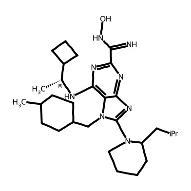 CC(C)CC1CCCCN1c1nc2nc(C(=N)NO)nc(N[C@H](C)C3CCC3)c2n1CC1CCC(C)CC1